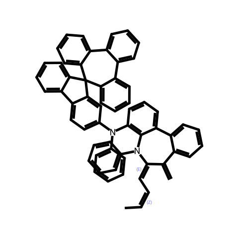 C=C1/C(=C\C=C/C)N(c2ccccc2)c2c(cccc2N(c2ccccc2)c2ccc3c(c2)C2(c4ccccc4-c4ccccc4-c4ccccc42)c2ccccc2-3)-c2ccccc21